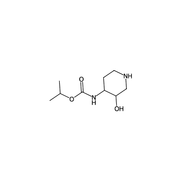 CC(C)OC(=O)NC1CCNCC1O